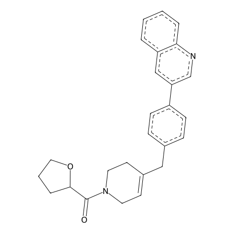 O=C(C1CCCO1)N1CC=C(Cc2ccc(-c3cnc4ccccc4c3)cc2)CC1